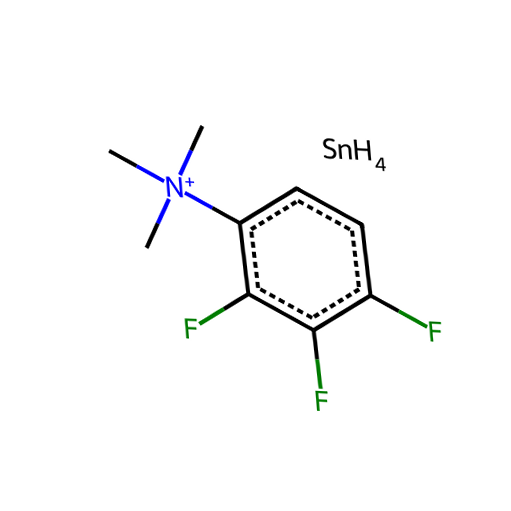 C[N+](C)(C)c1ccc(F)c(F)c1F.[SnH4]